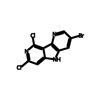 Clc1cc2[nH]c3cc(Br)cnc3c2c(Cl)n1